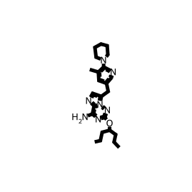 CCCC(CCC)Oc1nc(N)c2ncc(Cc3cnc(N4CCCCC4)c(C)c3)n2n1